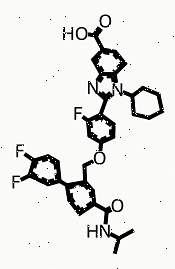 CC(C)NC(=O)c1ccc(-c2ccc(F)c(F)c2)c(COc2ccc(-c3nc4cc(C(=O)O)ccc4n3C3CCCCC3)c(F)c2)c1